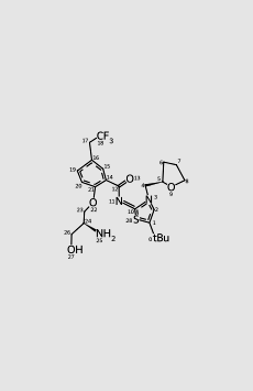 CC(C)(C)c1cn(C[C@H]2CCCO2)c(=NC(=O)c2cc(CC(F)(F)F)ccc2OC[C@@H](N)CO)s1